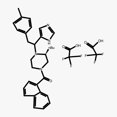 CCCC[C@H]1CN(C(=O)c2cccc3ccccc23)CCN1C(Cc1ccc(C)cc1)c1cnc[nH]1.O=C(O)C(F)(F)F.O=C(O)C(F)(F)F